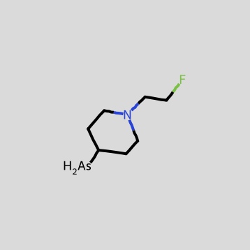 FCCN1CCC([AsH2])CC1